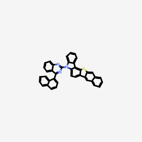 c1ccc2cc3c(cc2c1)sc1c3ccc2c1c1ccccc1n2-c1nc(-c2cccc3ccccc23)c2ccccc2n1